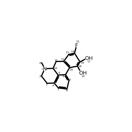 CN1CCc2cccc3c2C1Cc1cc(F)c(O)c(O)c1-3